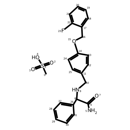 CS(=O)(=O)O.NC(=O)C(NCc1ccc(OCc2ccccc2F)cc1)c1ccccc1